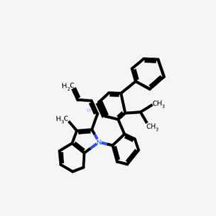 C=C/C=C\c1c(C)c2c(n1-c1ccccc1-c1c#ccc(-c3ccccc3)c1C(C)C)CCC=C2